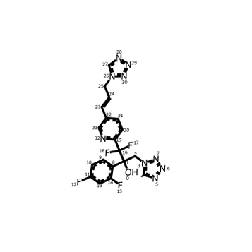 OC(Cn1cnnn1)(c1ccc(F)cc1F)C(F)(F)c1ccc(C=CCn2cnnn2)cn1